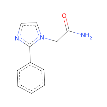 NC(=O)Cn1ccnc1-c1ccccc1